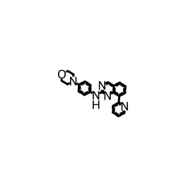 c1ccc(-c2cccc3cnc(Nc4ccc(N5CCOCC5)cc4)nc23)nc1